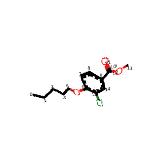 CCCCCOc1ccc(C(=O)OC)cc1Cl